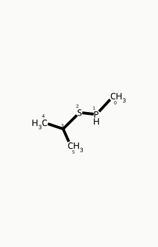 CPSC(C)C